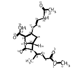 COC(=O)CSC(C)[C@H]1C(=O)N2C(C(=O)O)=C(S/C=C/NC(C)=O)C[C@H]12